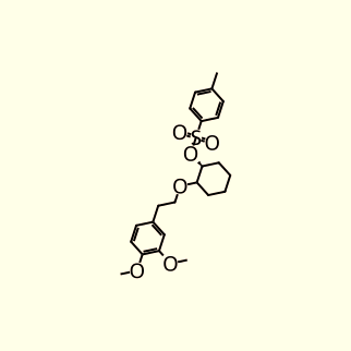 COc1ccc(CCOC2CCCC[C@@H]2OS(=O)(=O)c2ccc(C)cc2)cc1OC